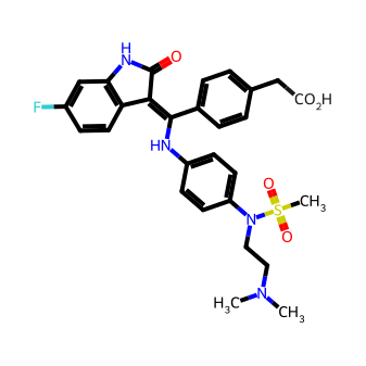 CN(C)CCN(c1ccc(NC(=C2C(=O)Nc3cc(F)ccc32)c2ccc(CC(=O)O)cc2)cc1)S(C)(=O)=O